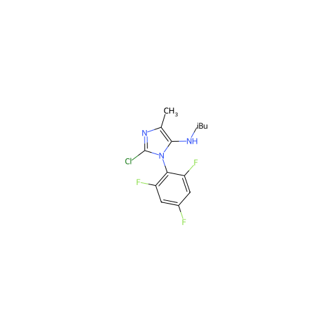 CCC(C)Nc1c(C)nc(Cl)n1-c1c(F)cc(F)cc1F